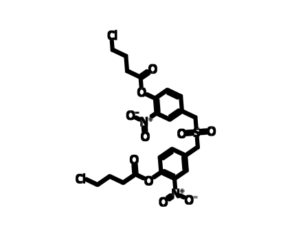 O=C(CCCCl)Oc1ccc(CS(=O)(=O)Cc2ccc(OC(=O)CCCCl)c([N+](=O)[O-])c2)cc1[N+](=O)[O-]